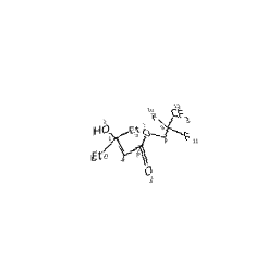 CCC(O)(CC)CC(=O)OCC(F)(F)C(F)(F)F